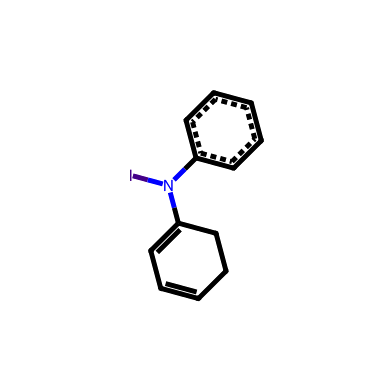 IN(C1=CC=CCC1)c1ccccc1